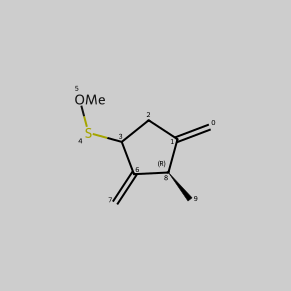 C=C1CC(SOC)C(=C)[C@@H]1C